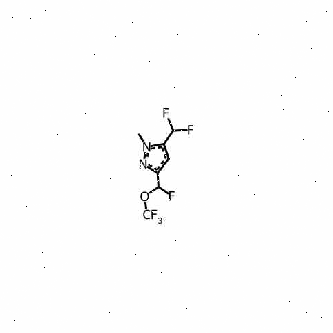 Cn1nc(C(F)OC(F)(F)F)cc1C(F)F